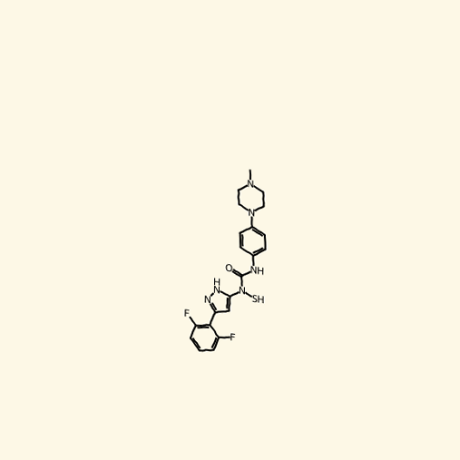 CN1CCN(c2ccc(NC(=O)N(S)c3cc(-c4c(F)cccc4F)n[nH]3)cc2)CC1